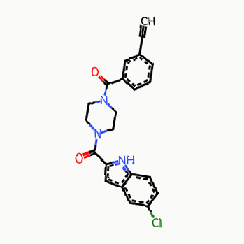 C#Cc1cccc(C(=O)N2CCN(C(=O)c3cc4cc(Cl)ccc4[nH]3)CC2)c1